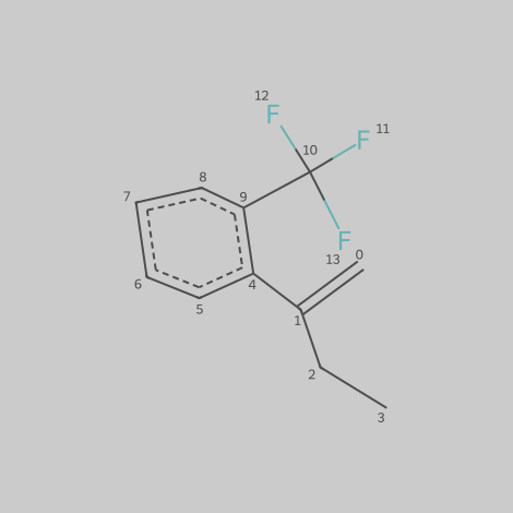 C=C(CC)c1ccccc1C(F)(F)F